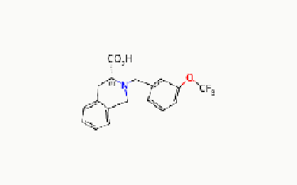 O=C(O)[C@H]1Cc2ccccc2CN1Cc1cccc(OC(F)(F)F)c1